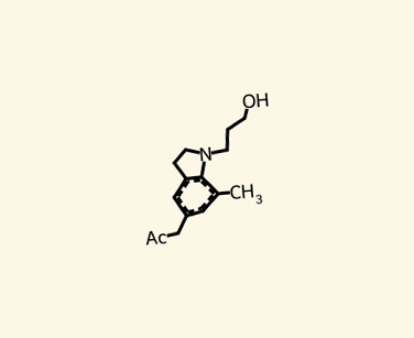 CC(=O)Cc1cc(C)c2c(c1)CCN2CCCO